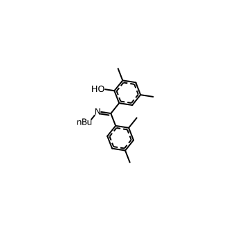 CCCC/N=C(\c1ccc(C)cc1C)c1cc(C)cc(C)c1O